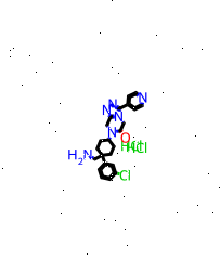 Cl.Cl.NCC1(c2cccc(Cl)c2)CCC(N2Cc3nnc(-c4ccncc4)n3CC2=O)CC1